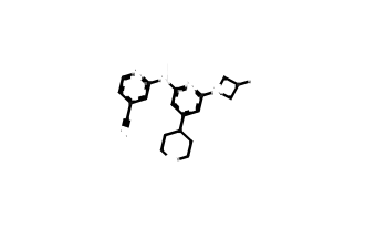 N#Cc1ccnc(Nc2cc(C3CCOCC3)cc(N3CC(F)C3)n2)c1